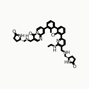 CCNc1nc(-c2cccc(-c3cccc(-c4ccn5c(=O)c(CNC[C@@H]6CCC(=O)N6)cnc5c4)c3C)c2Cl)ccc1CNC[C@H]1CCC(=O)N1